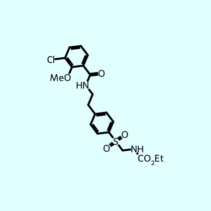 CCOC(=O)NCS(=O)(=O)c1ccc(CCNC(=O)c2cccc(Cl)c2OC)cc1